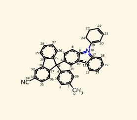 Cc1ccc(C2(c3ccc4c(c3)c3ccccc3n4C3=CC=CCC3)c3ccccc3-c3cc(C#N)ccc32)cc1